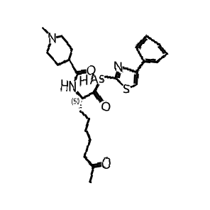 CC(=O)CCCCC[C@H](NC(=O)C1CCN(C)CC1)C(=O)[AsH]c1nc(-c2ccccc2)cs1